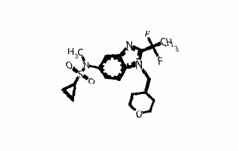 CN(c1ccc2c(c1)nc(C(C)(F)F)n2CC1CCOCC1)S(=O)(=O)C1CC1